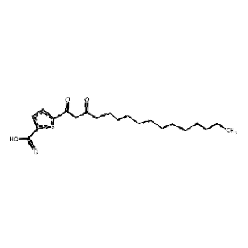 CCCCCCCCCCCCCC(=O)CC(=O)c1ccc(C(=O)O)s1